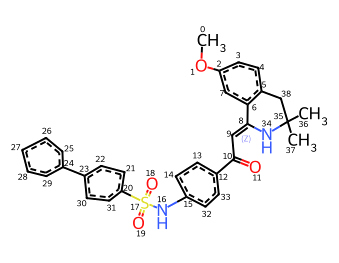 COc1ccc2c(c1)/C(=C/C(=O)c1ccc(NS(=O)(=O)c3ccc(-c4ccccc4)cc3)cc1)NC(C)(C)C2